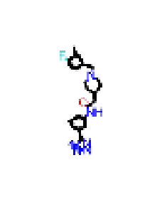 Cc1cc(CN2CCC(=CC(=O)Nc3cccc(-c4nnnn4C)c3)CC2)ccc1F